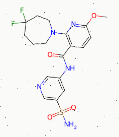 COc1ccc(C(=O)Nc2cncc(S(N)(=O)=O)c2)c(N2CCCC(F)(F)CC2)n1